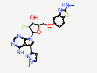 CNc1nc2cc(OC[C@H]3O[C@@H](n4cc(-c5ccn(C)n5)c5c(N)ncnc54)[C@@H](F)[C@@H]3O)ccc2s1